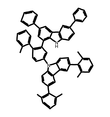 Cc1ccccc1-c1ccc(-n2c3ccc(-c4c(C)cccc4C)cc3c3cc(-c4c(C)cccc4C)ccc32)cc1-c1cc(-c2ccccc2)cc2c1[nH]c1ccc(-c3ccccc3)cc12